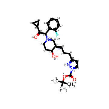 CC(C)(C)OC(=O)n1ccc(CC/C=C2/CN(C(C(=O)C3CC3)c3ccccc3F)CCC2O)n1